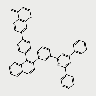 C=C1C=COc2cc(-c3ccc(-c4c(-c5cccc(-c6nc(-c7ccccc7)cc(-c7ccccc7)n6)c5)ccc5ccccc45)cc3)ccc21